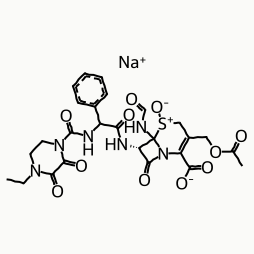 CCN1CCN(C(=O)NC(C(=O)N[C@H]2C(=O)N3C(C(=O)[O-])=C(COC(C)=O)C[S+]([O-])C23NC=O)c2ccccc2)C(=O)C1=O.[Na+]